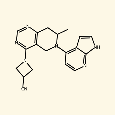 CC1Cc2ncnc(N3CC(C#N)C3)c2CN1c1ccnc2[nH]ccc12